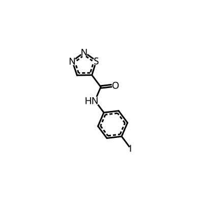 O=C(Nc1ccc(I)cc1)c1cnns1